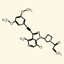 C=CC(=O)N1CCC(n2nc(C#Cc3cc(OC)cc(OC)c3)c3c(N)ncc(Cl)c32)C1